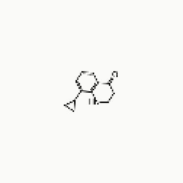 O=C1CCNc2c1cccc2C1CC1